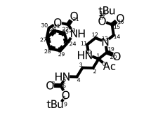 CC(=O)C1(CCCNC(=O)OC(C)(C)C)NCCN(CC(=O)OC(C)(C)C)C1=O.O=C1Nc2ccc(cc2)CO1